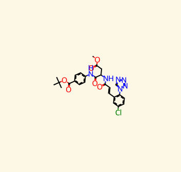 COC(=O)CC(NC(=O)C=Cc1cc(Cl)ccc1-n1cnnn1)C(=O)Nc1ccc(C(=O)OC(C)(C)C)cc1